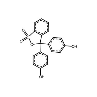 O=S1(=O)OC(c2ccc(O)cc2)(c2ccc(O)cc2)c2ccc[c]c21